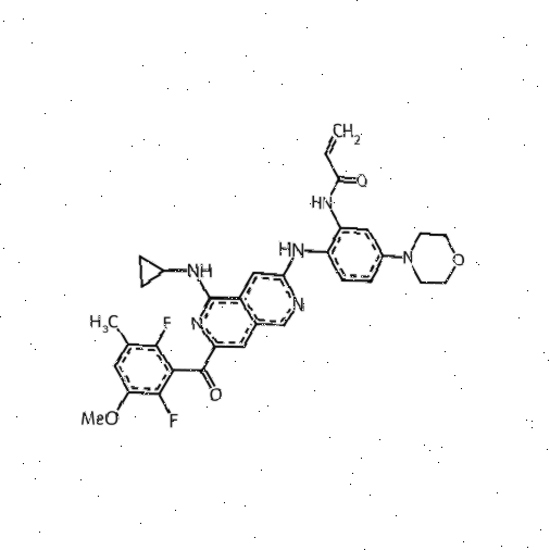 C=CC(=O)Nc1cc(N2CCOCC2)ccc1Nc1cc2c(NC3CC3)nc(C(=O)c3c(F)c(C)cc(OC)c3F)cc2cn1